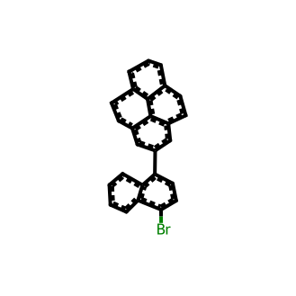 Brc1ccc(-c2cc3ccc4cccc5ccc(c2)c3c45)c2ccccc12